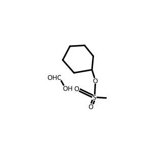 CS(=O)(=O)OC1CCCCC1.O=CO